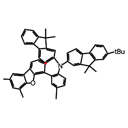 Cc1ccc(N(c2ccc3c(c2)C(C)(C)c2ccccc2-3)c2ccc3c(c2)C(C)(C)c2cc(C(C)(C)C)ccc2-3)c(-c2cccc3c2oc2c(C)cc(C)cc23)c1